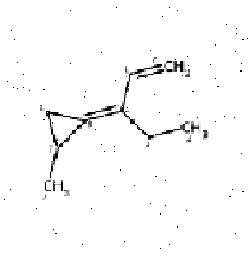 C=CC(CC)=C1CC1C